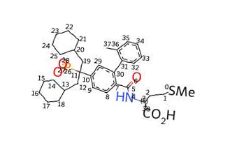 CSCC[C@H](NC(=O)c1ccc(C(CC2CCCCC2)(CC2CCCCC2)P(=O)=O)cc1-c1ccccc1C)C(=O)O